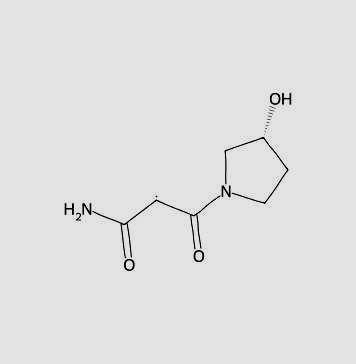 NC(=O)[CH]C(=O)N1CC[C@@H](O)C1